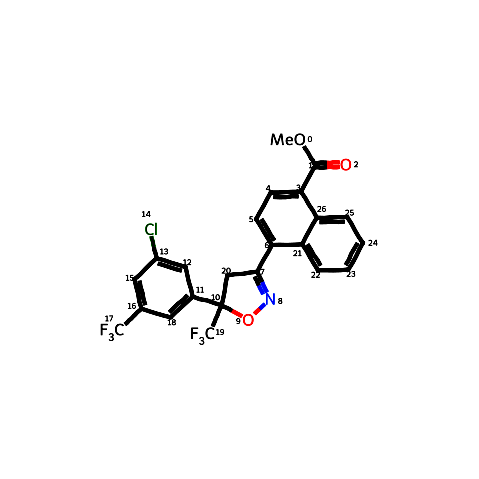 COC(=O)c1ccc(C2=NOC(c3cc(Cl)cc(C(F)(F)F)c3)(C(F)(F)F)C2)c2ccccc12